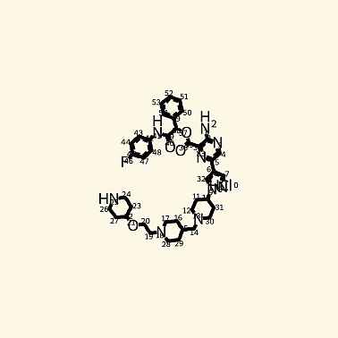 Cl.Nc1ncc(-c2cnn(C3CCN(CC4CCN(CCOC5CCNCC5)CC4)CC3)c2)nc1C(=O)O[C@@H](C(=O)Nc1ccc(F)cc1)c1ccccc1